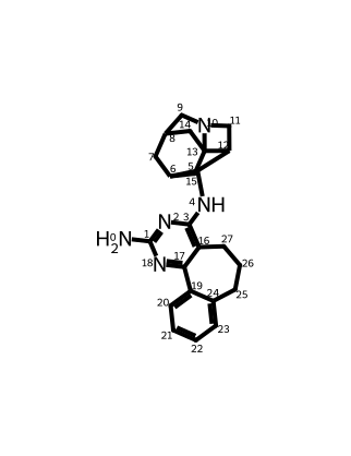 Nc1nc(NC2C3CC4CN5CC2C5(C4)C3)c2c(n1)-c1ccccc1CCC2